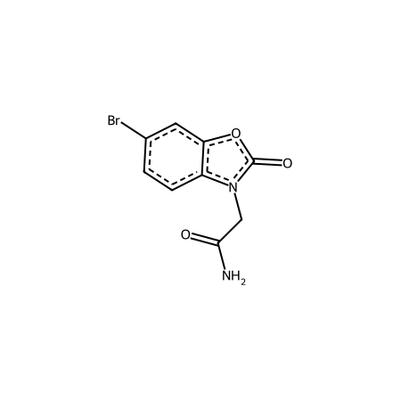 NC(=O)Cn1c(=O)oc2cc(Br)ccc21